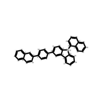 c1ccc2cc(-c3ccc(-c4ccc5c(c4)c4ccccc4n5-c4cccc5ccccc45)cc3)ccc2c1